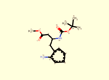 COC(=O)CC(Cc1ccccc1N)NC(=O)OC(C)(C)C